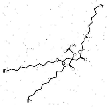 CCCC(=O)OC(CC(=O)OCCCCCCCCCCC(C)C)(CC(=O)OCCCCCCCCCCC(C)C)C(=O)OCCCCCCCCCCC(C)C